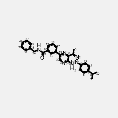 CC(=NNc1ccc(C(C)C)cc1)c1nc(-c2cccc(C(=O)NCc3ccccc3)c2)cnc1N